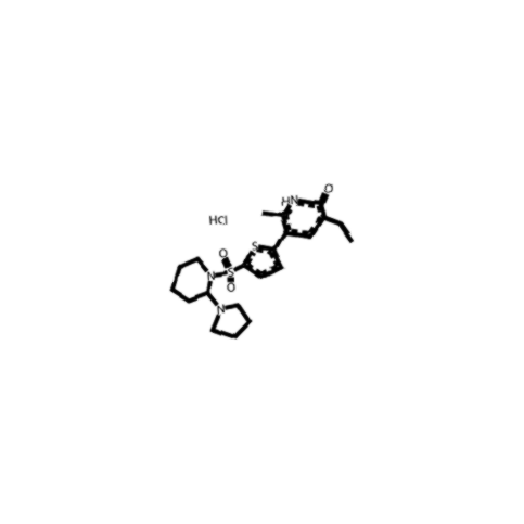 CCc1cc(-c2ccc(S(=O)(=O)N3CCCCC3N3CCCC3)s2)c(C)[nH]c1=O.Cl